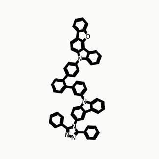 c1ccc(-c2nnc(-c3ccccc3)n2-c2ccc3c(c2)c2ccccc2n3-c2cccc(-c3ccccc3-c3ccc(-n4c5ccccc5c5c6oc7ccccc7c6ccc54)cc3)c2)cc1